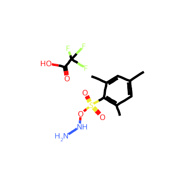 Cc1cc(C)c(S(=O)(=O)ONN)c(C)c1.O=C(O)C(F)(F)F